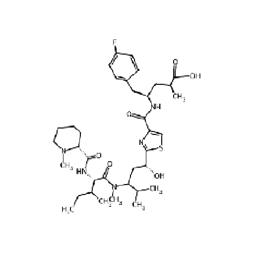 CCC(C)[C@H](NC(=O)[C@H]1CCCCN1C)C(=O)N(C)C(C[C@@H](O)c1nc(C(=O)N[C@@H](Cc2ccc(F)cc2)C[C@H](C)C(=O)O)cs1)C(C)C